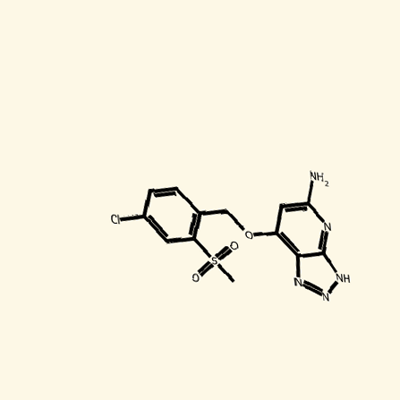 CS(=O)(=O)c1cc(Cl)ccc1COc1cc(N)nc2[nH]nnc12